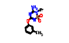 Cc1cccc(OC2=NS(=O)(=O)N(C(C)C)C(N)=N2)c1